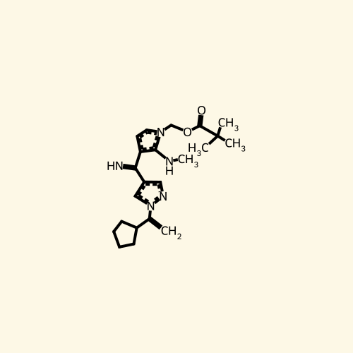 C=C(C1CCCC1)n1cc(C(=N)c2ccn(COC(=O)C(C)(C)C)c2NC)cn1